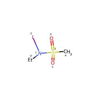 CCN(I)S(C)(=O)=O